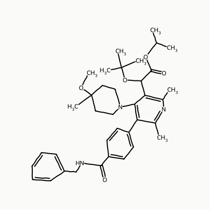 COC1(C)CCN(c2c(-c3ccc(C(=O)NCc4ccccc4)cc3)c(C)nc(C)c2C(OC(C)(C)C)C(=O)OC(C)C)CC1